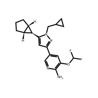 Nc1ncc(-c2cc([C@H]3[C@@H]4CCC[C@@H]43)n(CC3CC3)n2)cc1OC(F)F